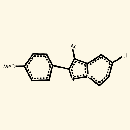 COc1ccc(-c2nn3ccc(Cl)cc3c2C(C)=O)cc1